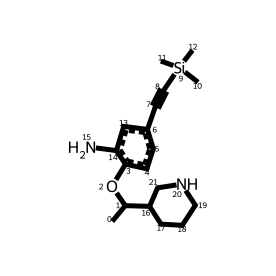 CC(Oc1ccc(C#C[Si](C)(C)C)cc1N)C1CCCNC1